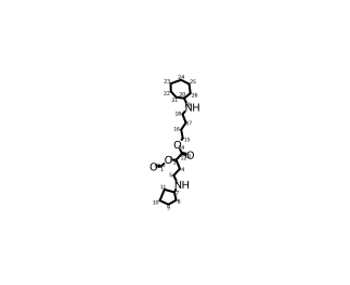 O=[C]OC(CCNC1CCCC1)C(=O)OCCCCNC1CCCCCC1